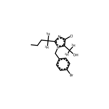 [2H]C([2H])(O)c1c(Cl)nc(C([2H])([2H])CCC)n1Cc1ccc(Br)cc1